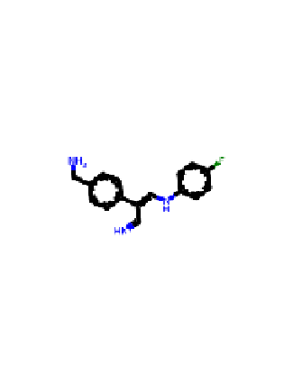 N=C/C(=C\Nc1ccc(F)cc1)c1ccc(CN)cc1